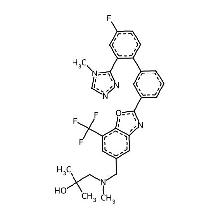 CN(Cc1cc(C(F)(F)F)c2oc(-c3cccc(-c4ccc(F)cc4-c4nncn4C)c3)nc2c1)CC(C)(C)O